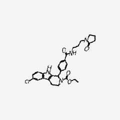 CCOC(=O)N1CCc2c([nH]c3ccc(Cl)cc23)C1c1ccc(C(=O)NCCCN2CCCC2=O)cc1